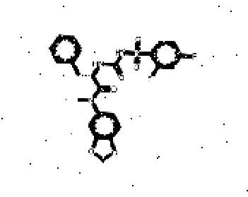 CN(C(=O)[C@H](Cc1ccccc1)NC(=O)NS(=O)(=O)c1ccc(F)cc1F)c1ccc2c(c1)OCO2